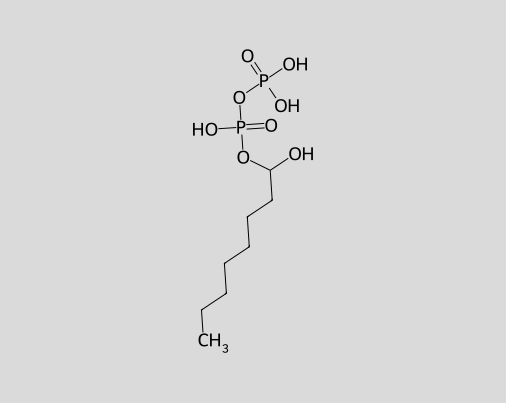 CCCCCCCC(O)OP(=O)(O)OP(=O)(O)O